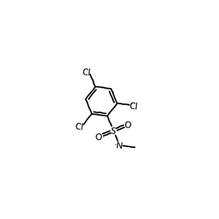 C[N]S(=O)(=O)c1c(Cl)cc(Cl)cc1Cl